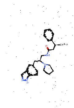 C[C@@H](CC(=O)NC[C@H](Cc1ccc2[nH]ncc2c1)N1CCCC1)c1ccccc1